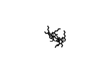 CCCCC(CC)CN(CC(CC)CCCC)C(=S)COCC(=S)N(CC(CC)CCCC)CC(CC)CCCC